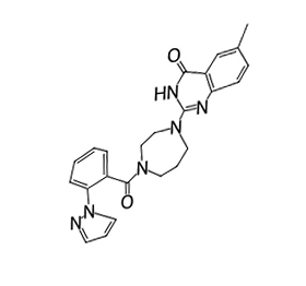 Cc1ccc2nc(N3CCCN(C(=O)c4ccccc4-n4cccn4)CC3)[nH]c(=O)c2c1